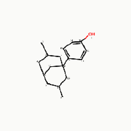 CC1CC2CC(C)CC(c3ccc(O)cc3)(C1)C2